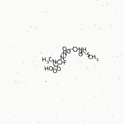 CCn1cc(C(=O)O)c(=O)c2cc(F)c(N3CCN(C(=O)OCc4ccc(NC(=O)CCSC)cc4)CC3)cc21